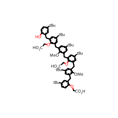 COc1c(Cc2cc(C(C)(C)C)ccc2OCC(=O)O)cc(C(C)(C)C)cc1Cc1cc(C(C)(C)C)cc(Cc2cc(C(C)(C)C)cc(Cc3cc(C(C)(C)C)cc(Cc4cc(C(C)(C)C)ccc4O)c3OCC(=O)O)c2OC)c1OCC(=O)O